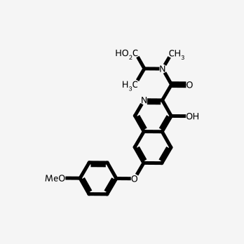 COc1ccc(Oc2ccc3c(O)c(C(=O)N(C)C(C)C(=O)O)ncc3c2)cc1